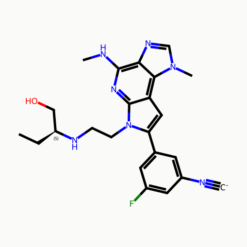 [C-]#[N+]c1cc(F)cc(-c2cc3c4c(ncn4C)c(NC)nc3n2CCN[C@@H](CC)CO)c1